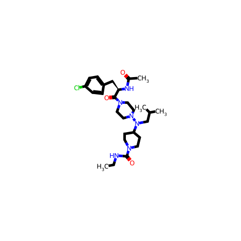 CCNC(=O)N1CCC(N(CC(C)C)N2CCN(C(=O)[C@@H](Cc3ccc(Cl)cc3)NC(C)=O)CC2)CC1